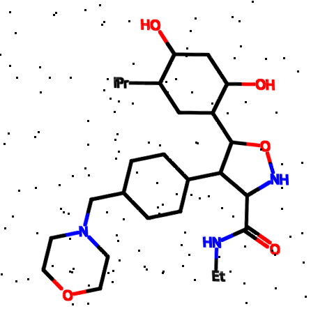 CCNC(=O)C1NOC(C2CC(C(C)C)C(O)CC2O)C1C1CCC(CN2CCOCC2)CC1